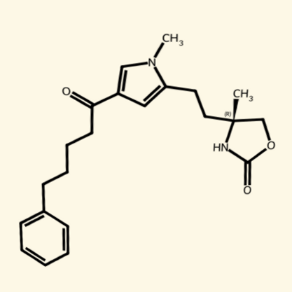 Cn1cc(C(=O)CCCCc2ccccc2)cc1CC[C@]1(C)COC(=O)N1